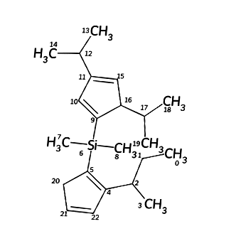 CCC(C)C1=C([Si](C)(C)C2=CC(C(C)C)=CC2C(C)C)CC=C1